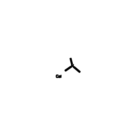 CN(C)C.[Ga]